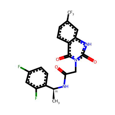 C[C@H](NC(=O)Cn1c(=O)[nH]c2cc(C(F)(F)F)ccc2c1=O)c1ccc(F)cc1F